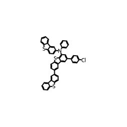 Clc1ccc(-c2cc(N(c3ccccc3)c3ccc4sc5ccccc5c4c3)c3sc4ccc(-c5ccc6sc7ccccc7c6c5)cc4c3c2)cc1